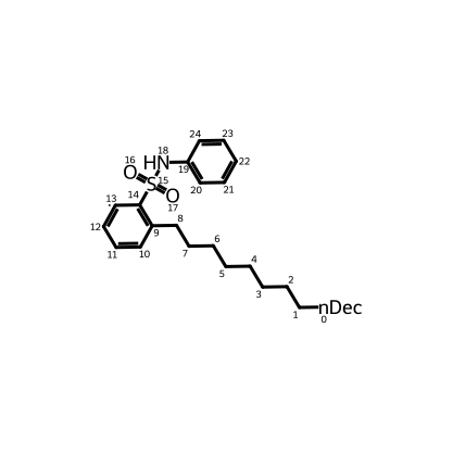 CCCCCCCCCCCCCCCCCCc1ccc[c]c1S(=O)(=O)Nc1ccccc1